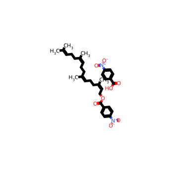 CC(C)=CCCC(C)=CCCC(C)=CCCC(C)=CCOC(=O)c1ccc([N+](=O)[O-])cc1.O=C(O)c1ccc([N+](=O)[O-])cc1